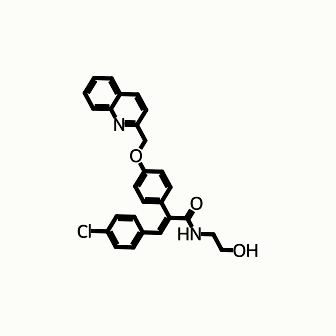 O=C(NCCO)/C(=C/c1ccc(Cl)cc1)c1ccc(OCc2ccc3ccccc3n2)cc1